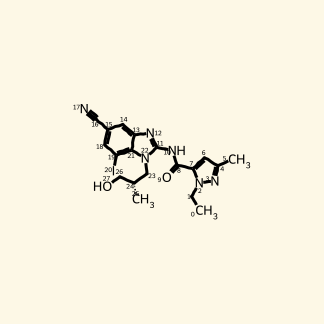 CCn1nc(C)cc1C(=O)Nc1nc2cc(C#N)cc(I)c2n1C[C@H](C)CO